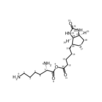 NCCCC[C@H](N)C(=O)OC(=O)CCCC[C@@H]1SC[C@@H]2NC(=O)N[C@@H]21